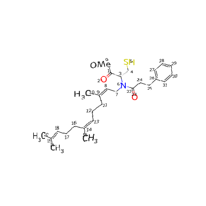 COC(=O)[C@H](CS)N(CC=C(C)CCC=C(C)CCC=C(C)C)C(=O)CCc1ccccc1